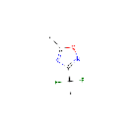 CC(C)c1nc(C(C)(F)F)no1